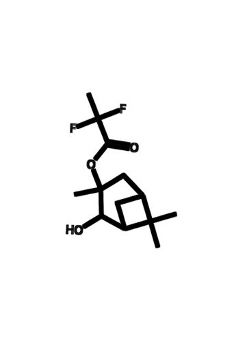 CC(F)(F)C(=O)OC1(C)CC2CC(C1O)C2(C)C